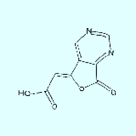 O=C(O)C=C1OC(=O)c2ncncc21